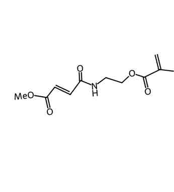 C=C(C)C(=O)OCCNC(=O)/C=C/C(=O)OC